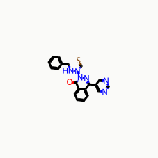 O=c1c2ccccc2c(-c2cncnc2)nn1N(C=S)NCc1ccccc1